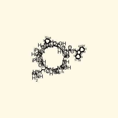 CC[C@H](C)[C@@H]1NC(=O)[C@@H](CCCNC(=N)N)NC(=O)[C@H](CC(C)C)NC(=O)[C@H]([C@H](O)C(C)C)NC(=O)[C@@H](N)[C@@H](c2ccccc2)NC(=O)C(CO)NC(=O)[C@H](CNC(=O)OCC2c3ccccc3-c3ccccc32)NC(=O)CNC(=O)[C@H]([C@H](C)O)NC1=O